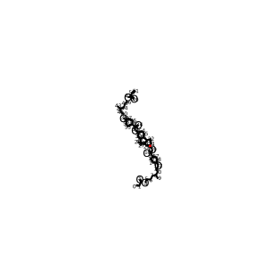 C=CC(=O)OCCCC(C)CCOc1ccc(C(=O)Oc2ccc3c(c2)C(C)(C)c2cc(OC(=O)c4ccc(OCCC(C)CCCOC(=O)C=C)cc4)ccc2-3)cc1